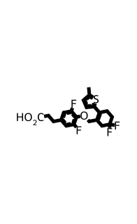 Cc1ccc(C2=C(COc3c(F)cc(CCC(=O)O)cc3F)CC(F)(F)CC2)s1